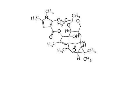 CC1=C[C@]23C(=O)[C@@H](C=C4COC(C)(C)O[C@H]4[C@]2(O)[C@H]1OC(=O)c1cc(C)n(C)c1C)[C@H]1[C@@H](C[C@H]3C)C1(C)C